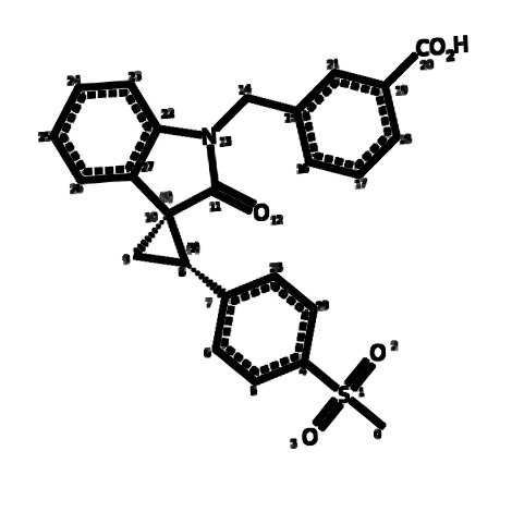 CS(=O)(=O)c1ccc([C@@H]2C[C@]23C(=O)N(Cc2cccc(C(=O)O)c2)c2ccccc23)cc1